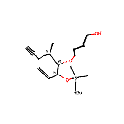 C#CC[C@@H](C)[C@H](OCCCO)[C@@H](C=C)O[Si](C)(C)C(C)(C)C